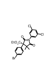 CCOC(=O)[C@@]1(c2ccc(Br)cc2)C(=O)N(c2cc(Cl)cc(Cl)c2)C(=O)C1(C)C